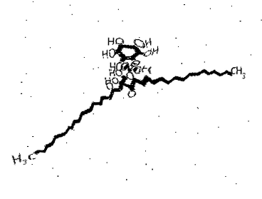 CCCCCCCCCCCCCCCCCC(=O)CC(O)(C(=O)CCCCCCCCCCCCCCCCC)C(O)OP(=O)(O)OC1C(O)C(O)C(O)C(O)C1O